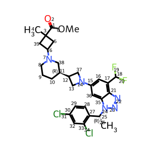 COC(=O)C1(C)CC(N2CCC[C@H](C3CN(c4cc(C(F)F)c5nnn([C@H](C)c6ccc(Cl)cc6Cl)c5c4)C3)C2)C1